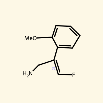 COc1ccccc1/C(=C\F)CN